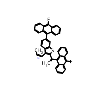 C=C(c1sc2cc(-c3c4ccccc4c(F)c4ccccc34)ccc2c1/C=C\C)c1c2ccccc2c(F)c2ccccc12